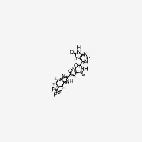 C[C@H](NC(=O)c1ncnc2c1CC(=O)N2)c1cc(-c2nc3ccc(C(F)(F)F)cc3[nH]2)on1